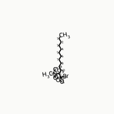 CCCCCCCCCCCC(C1(Br)OO1)[N+](C)(C)C